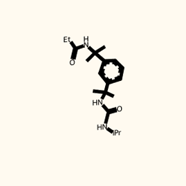 CCC(=O)NC(C)(C)c1cccc(C(C)(C)NC(=O)NC(C)C)c1